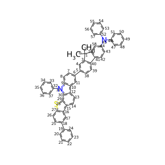 CC1(C)c2cc(-c3ccc4c(c3)c3ccc5c6cc(-c7ccccc7)ccc6sc5c3n4-c3ccccc3)ccc2-c2ccc(N(c3ccccc3)c3ccccc3)cc21